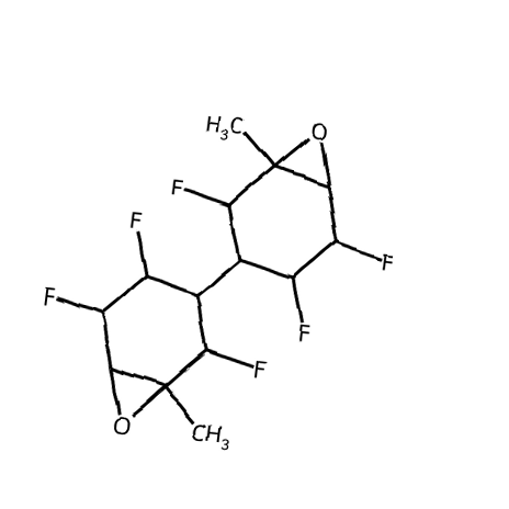 CC12OC1C(F)C(F)C(C1C(F)C(F)C3OC3(C)C1F)C2F